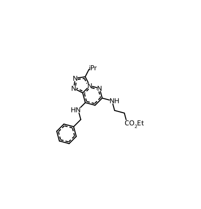 CCOC(=O)CCNc1cc(NCc2ccccc2)c2nnc(C(C)C)n2n1